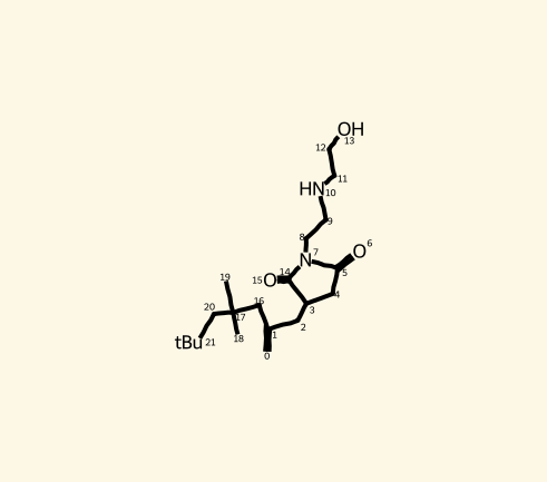 C=C(CC1CC(=O)N(CCNCCO)C1=O)CC(C)(C)CC(C)(C)C